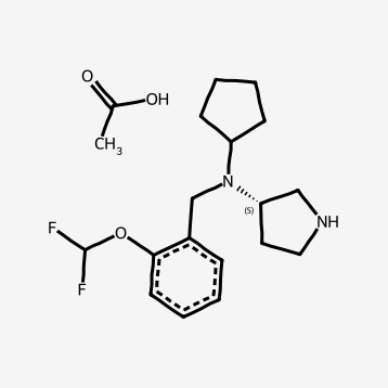 CC(=O)O.FC(F)Oc1ccccc1CN(C1CCCC1)[C@H]1CCNC1